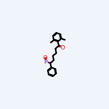 Cc1cccc(C)c1C(=O)CCCCC(P=O)c1ccccc1